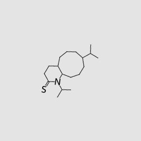 CC(C)C1CCCC2CCC(=S)N(C(C)C)C2CCC1